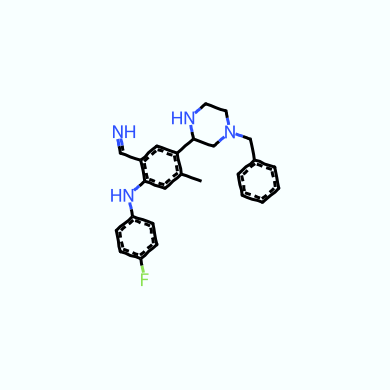 Cc1cc(Nc2ccc(F)cc2)c(C=N)cc1C1CN(Cc2ccccc2)CCN1